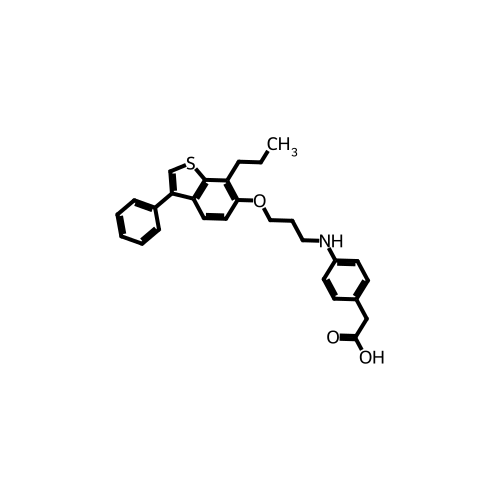 CCCc1c(OCCCNc2ccc(CC(=O)O)cc2)ccc2c(-c3ccccc3)csc12